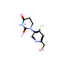 O=C1CCN(c2cnc(CBr)cc2F)C(=O)N1